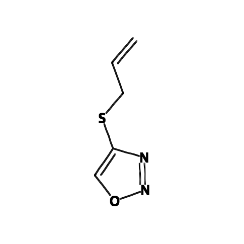 C=CCSc1conn1